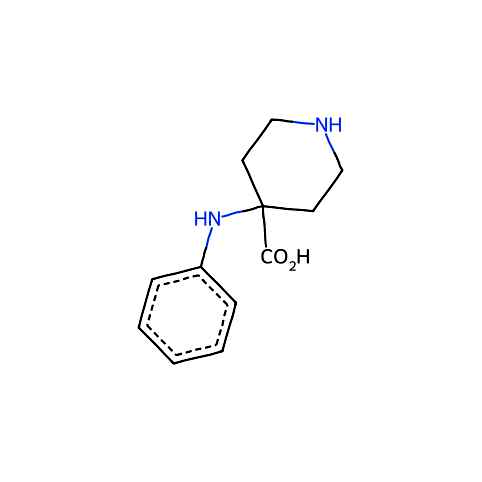 O=C(O)C1(Nc2ccccc2)CCNCC1